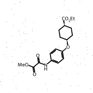 CCOC(=O)[C@H]1CC[C@@H](Oc2ccc(NC(=O)C(=O)OC)cc2)CC1